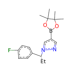 CC[C@H](c1ccc(F)cc1)n1cc(B2OC(C)(C)C(C)(C)O2)cn1